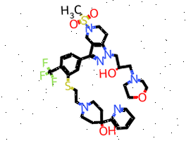 CS(=O)(=O)N1CCc2c(c(-c3ccc(C(F)(F)F)c(SCCN4CCC(O)(c5ccccn5)CC4)c3)nn2C[C@H](O)CN2CCOCC2)C1